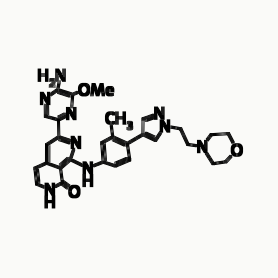 COc1nc(-c2cc3cc[nH]c(=O)c3c(Nc3ccc(-c4cnn(CCN5CCOCC5)c4)c(C)c3)n2)cnc1N